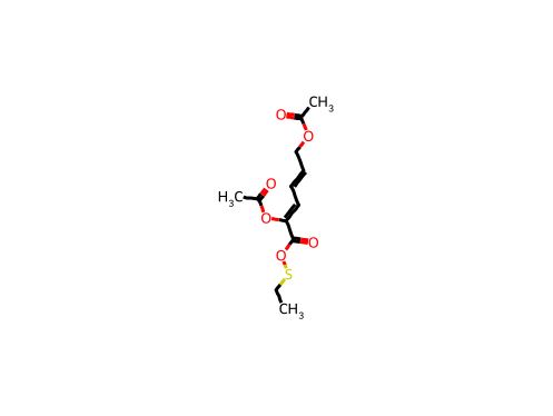 CCSOC(=O)C(=CC=CCOC(C)=O)OC(C)=O